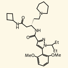 CCC(CC)n1nc(C(=O)N[C@@H](CCN2CCCCC2)CC(=O)NC2CCC2)cc1-c1c(OC)cccc1OC